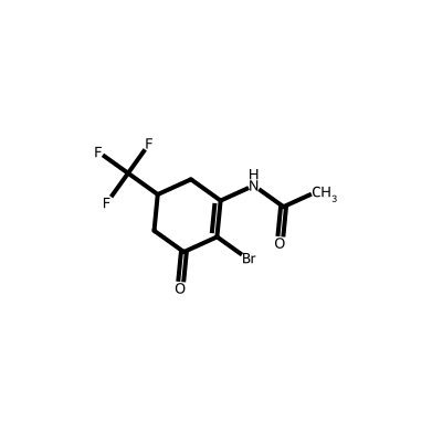 CC(=O)NC1=C(Br)C(=O)CC(C(F)(F)F)C1